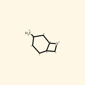 CC1CCC2COC2C1